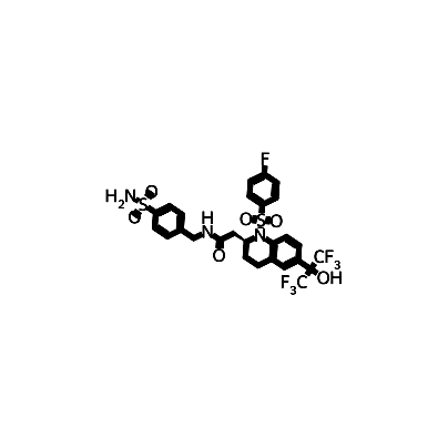 NS(=O)(=O)c1ccc(CNC(=O)C[C@@H]2CCc3cc(C(O)(C(F)(F)F)C(F)(F)F)ccc3N2S(=O)(=O)c2ccc(F)cc2)cc1